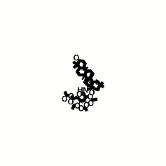 CC(=O)OCC1O[C@H](NC(=O)[C@]23CCC(C)(C)CC2C2=CCC4[C@@]5(C)CCC(=O)C(C)(C)C5CC[C@@]4(C)[C@]2(N)CC3)C(OC(C)=O)[C@H](OC(C)=O)[C@@H]1OC(C)=O